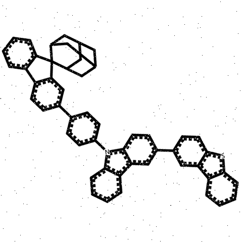 c1ccc2c(c1)-c1ccc(-c3ccc(-n4c5ccccc5c5cc(-c6ccc7sc8ccccc8c7c6)ccc54)cc3)cc1C21C2CC3CC(C2)CC1C3